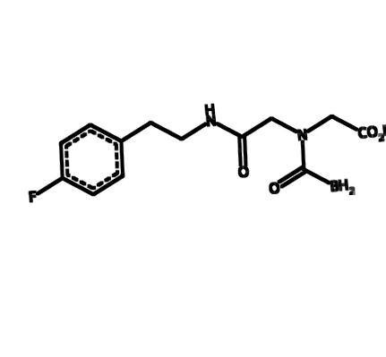 BC(=O)N(CC(=O)O)CC(=O)NCCc1ccc(F)cc1